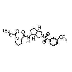 CC(C)(C)OC(=O)N1CCCC1C(=O)N[C@H]1CC[C@@H]2CN(S(=O)(=O)c3cccc(C(F)(F)F)c3)C[C@@H]21